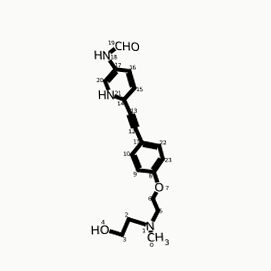 CN(CCO)CCOc1ccc(C#CC2C=CC(NC=O)=CN2)cc1